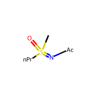 CCCS(C)(=O)=NC(C)=O